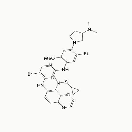 CCc1cc(Nc2ncc(Br)c(Nc3ccc4nccnc4c3N(C)SC3CC3)n2)c(OC)cc1N1CCC(N(C)C)C1